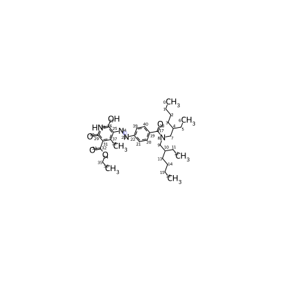 CCCCC(CC)CN(CC(CC)CCCC)C(=O)c1ccc(/N=N/c2c(O)[nH]c(=O)c(C(=O)OCC)c2C)cc1